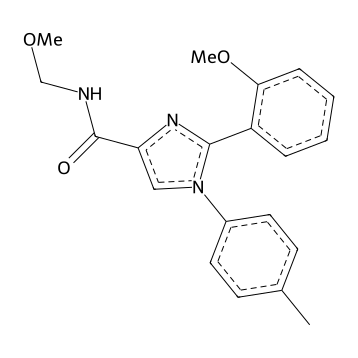 COCNC(=O)c1cn(-c2ccc(C)cc2)c(-c2ccccc2OC)n1